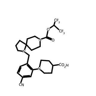 N#Cc1ccc(CN2CCCC23CCN(C(=O)OC(C(F)(F)F)C(F)(F)F)CC3)c(N2CCC(C(=O)O)CC2)c1